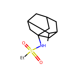 CCS(=O)(=O)NC12CC3CC(C1)C(C)C(C3)C2